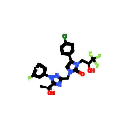 C[C@H](O)c1nc(Cn2cc(-c3ccc(Cl)cc3)n(CC(O)C(F)(F)F)c2=O)nn1-c1cccc(F)c1